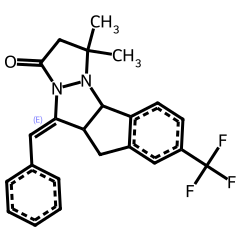 CC1(C)CC(=O)N2/C(=C/c3ccccc3)C3Cc4cc(C(F)(F)F)ccc4C3N21